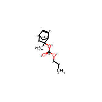 CCCOC(=O)OC1(C)CC2C=CC1C2